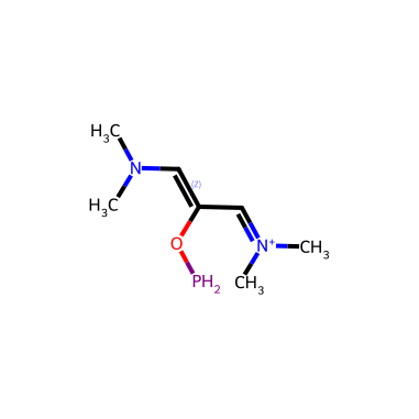 CN(C)/C=C(/C=[N+](C)C)OP